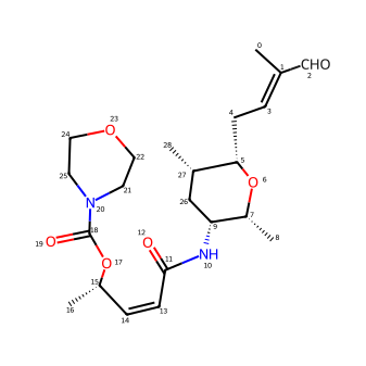 C/C(C=O)=C\C[C@@H]1O[C@H](C)[C@H](NC(=O)/C=C\[C@H](C)OC(=O)N2CCOCC2)C[C@@H]1C